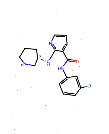 O=C(Nc1cccc(Cl)c1)c1cccnc1N[C@H]1CCCNC1